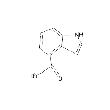 CC(C)C(=O)c1cccc2[nH]ccc12